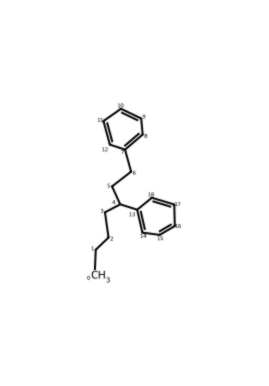 CCCCC(CCc1ccccc1)c1ccccc1